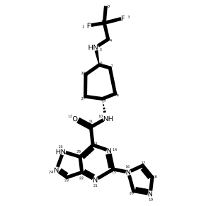 CC(F)(F)CN[C@H]1CC[C@H](NC(=O)c2nc(-n3ccnc3)nc3cn[nH]c23)CC1